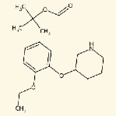 CC(C)(C)OC=O.CCOc1ccccc1OC1CCCNC1